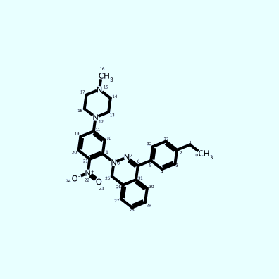 CCc1ccc(C2=NN(c3cc(N4CCN(C)CC4)ccc3[N+](=O)[O-])Cc3ccccc32)cc1